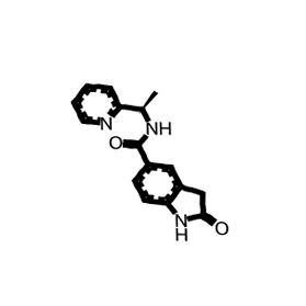 C[C@@H](NC(=O)c1ccc2c(c1)CC(=O)N2)c1ccccn1